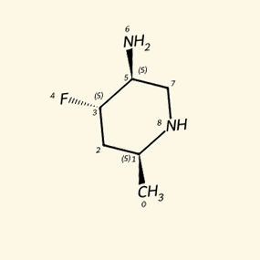 C[C@H]1C[C@H](F)[C@@H](N)CN1